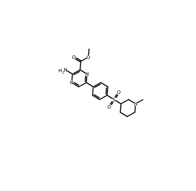 COC(=O)c1nc(-c2ccc(S(=O)(=O)C3CCCN(C)C3)cc2)cnc1N